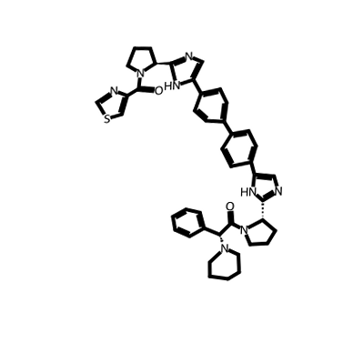 O=C(c1cscn1)N1CCC[C@H]1c1ncc(-c2ccc(-c3ccc(-c4cnc([C@@H]5CCCN5C(=O)[C@@H](c5ccccc5)N5CCCCC5)[nH]4)cc3)cc2)[nH]1